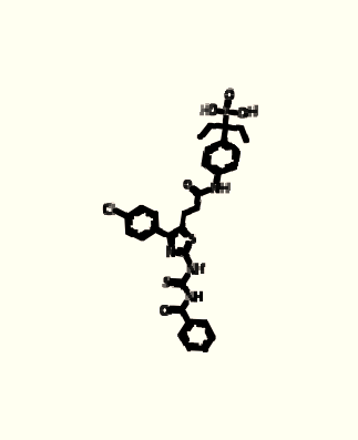 CCC(CC)(c1ccc(NC(=O)CCc2sc(NC(=S)NC(=O)c3ccccc3)nc2-c2ccc(Cl)cc2)cc1)P(=O)(O)O